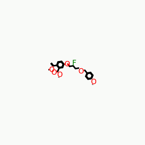 C=C(OC)c1ccc(OCC(F)CCOCc2ccc(OC)cc2)cc1C(=O)OC